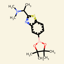 CC(c1nc2cc(B3OC(C)(C)C(C)(C)O3)ccc2s1)N(C)C